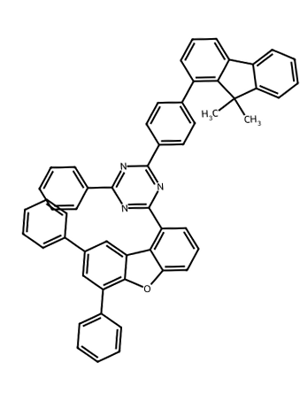 CC1(C)c2ccccc2-c2cccc(-c3ccc(-c4nc(-c5ccccc5)nc(-c5cccc6oc7c(-c8ccccc8)cc(-c8ccccc8)cc7c56)n4)cc3)c21